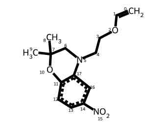 C=COCCN1CC(C)(C)Oc2ccc([N+](=O)[O-])cc21